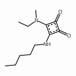 CCCCCNc1c(N(C)CC)c(=O)c1=O